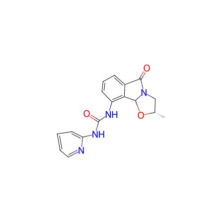 C[C@H]1CN2C(=O)c3cccc(NC(=O)Nc4ccccn4)c3C2O1